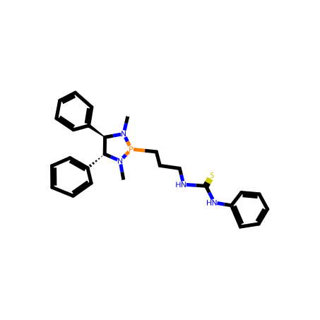 CN1[C@H](c2ccccc2)[C@@H](c2ccccc2)N(C)P1CCCNC(=S)Nc1ccccc1